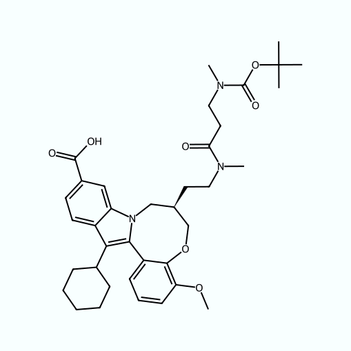 COc1cccc2c1OC[C@H](CCN(C)C(=O)CCN(C)C(=O)OC(C)(C)C)Cn1c-2c(C2CCCCC2)c2ccc(C(=O)O)cc21